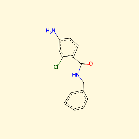 Nc1ccc(C(=O)NCc2ccccc2)c(Cl)c1